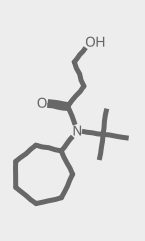 CC(C)(C)N(C(=O)CCO)C1CCCCCC1